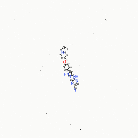 CCN1CCC(COc2ccc(-c3cc(Nc4cnc(C#N)cn4)n[nH]3)cc2)CC1